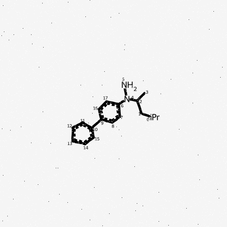 CC(C)CC(C)N(N)c1ccc(-c2ccccc2)cc1